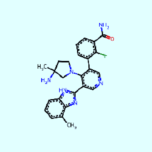 Cc1cccc2[nH]c(-c3cncc(-c4cccc(C(N)=O)c4F)c3N3CCC(C)(N)C3)nc12